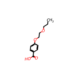 CCCOCCOc1ccc(C(=O)O)cc1